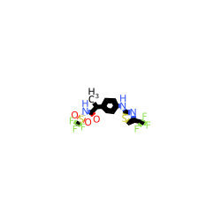 CC(C(=O)NS(=O)(=O)C(F)(F)F)c1ccc(Nc2nc(C(F)(F)F)cs2)cc1